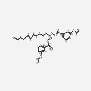 [CH2]CCCCCCCCCC[C](OOC(=O)c1cccc(OCC)c1)OOC(=O)c1cccc(OCC)c1